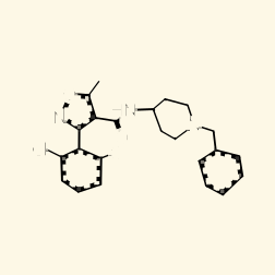 Cc1onc(-c2c(Cl)cccc2Cl)c1C(=O)NC1CCN(Cc2ccccc2)CC1